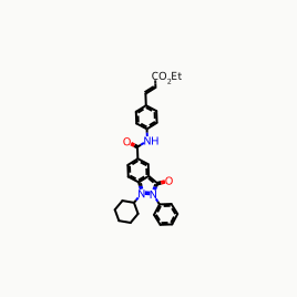 CCOC(=O)/C=C/c1ccc(NC(=O)c2ccc3c(c2)c(=O)n(-c2ccccc2)n3C2CCCCC2)cc1